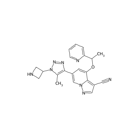 Cc1c(-c2cc(OC(C)c3ccccn3)c3c(C#N)cnn3c2)nnn1C1CNC1